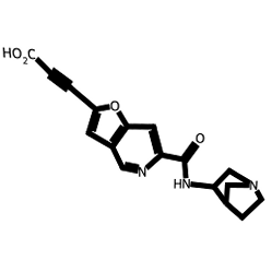 O=C(O)C#Cc1cc2cnc(C(=O)NC3CN4CCC3C4)cc2o1